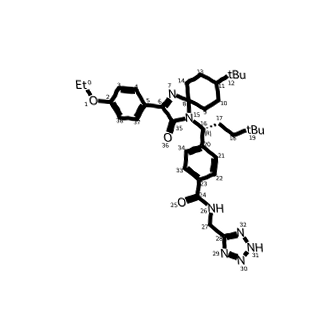 CCOc1ccc(C2=NC3(CCC(C(C)(C)C)CC3)N([C@H](CCC(C)(C)C)c3ccc(C(=O)NCc4nn[nH]n4)cc3)C2=O)cc1